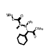 CCCN([C@H](C(=O)OC)C1CCCCC1)N(C)C(=O)OC(C)(C)C